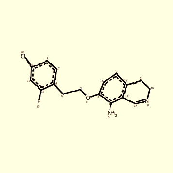 Nc1c(OCCc2ccc(Cl)cc2F)ccc2c1C=NCC2